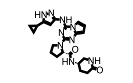 O=C1CC[C@H](NC(=O)[C@@H]2CCCN2c2nc(Nc3cc(C4CC4)[nH]n3)n3cccc3n2)CN1